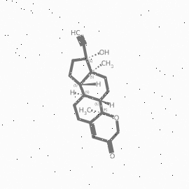 C#C[C@]1(O)CC[C@H]2[C@@H]3CCC4=CC(=O)CO[C@]4(C)[C@H]3CC[C@@]21C